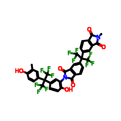 Cc1cc(C(c2ccc(O)c(N3C(=O)c4ccc(C(c5ccc6c(c5)C(=O)N(C)C6=O)(C(F)(F)F)C(F)(F)F)cc4C3=O)c2)(C(F)(F)F)C(F)(F)F)ccc1O